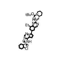 CCc1cc(-c2ccc3c(NS(=O)(=O)c4ccccc4Cl)ncnn23)cc2cnc(NC[C@@H]3CCCCN3C(=O)OC(C)(C)C)nc12